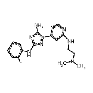 CN(C)CCNc1cc(-n2nc(Nc3ccccc3F)nc2N)ncn1